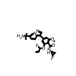 C=CC(F)Oc1cc(-c2cnn3cc(C(C)(C)N)ccc23)cc(OC)c1C(=O)N[C@@H]1C[C@@H]1F